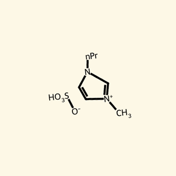 CCCn1cc[n+](C)c1.O=S(=O)([O-])O